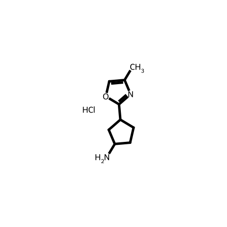 Cc1coc(C2CCC(N)C2)n1.Cl